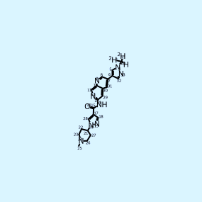 [2H]C([2H])([2H])n1cc(-c2cnc3cnc(NC(=O)c4cnn(C5CCN(C)CC5)c4)cc3c2)cn1